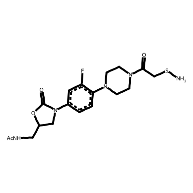 CC(=O)NCC1CN(c2ccc(N3CCN(C(=O)CSN)CC3)c(F)c2)C(=O)O1